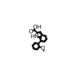 COc1ccccc1-c1cccc2cc(C(=O)O)[nH]c12